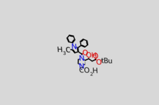 Cc1cc(C(=O)N2CCN(C(=O)O)C[C@H]2[C@@H](O)CC(=O)OC(C)(C)C)c(-c2ccccc2)n1-c1ccccc1